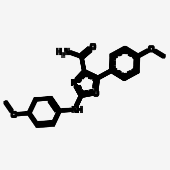 COc1ccc(-c2oc(NC3=CCC(OC)C=C3)nc2C(N)=O)cc1